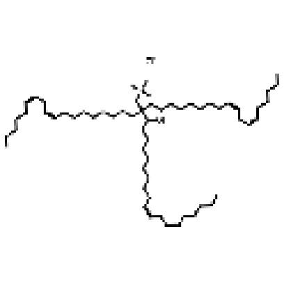 CCCCC/C=C\C/C=C\CCCCCCCCC(O)C(CCCCCCCC/C=C\C/C=C\CCCCC)(CCCCCCCC/C=C\C/C=C\CCCCC)C[N+](C)(C)C.[Cl-]